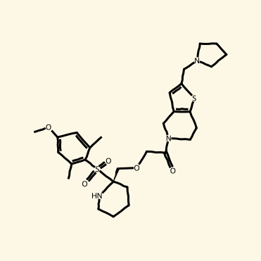 COc1cc(C)c(S(=O)(=O)[C@]2(COCC(=O)N3CCc4sc(CN5CCCC5)cc4C3)CCCCN2)c(C)c1